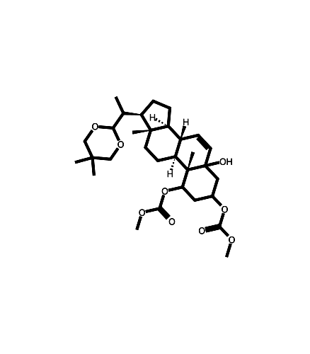 COC(=O)OC1CC(OC(=O)OC)[C@]2(C)[C@H]3CC[C@]4(C)[C@@H](C(C)C5OCC(C)(C)CO5)CC[C@H]4[C@@H]3C=CC2(O)C1